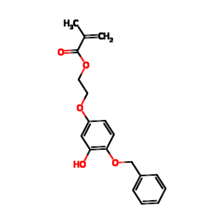 C=C(C)C(=O)OCCOc1ccc(OCc2ccccc2)c(O)c1